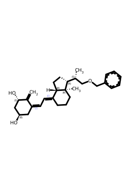 C=C1/C(=C\C=C2/CCC[C@]3(C)[C@@H]([C@H](C)COCc4ccccc4)CC[C@@H]23)C[C@@H](O)C[C@@H]1O